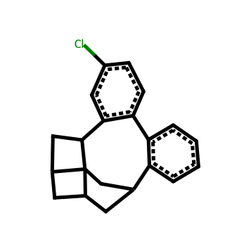 Clc1ccc2c(c1)C1CC3CC4CC(CC431)c1ccccc1-2